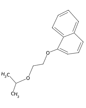 CC(C)OCCOc1cccc2ccccc12